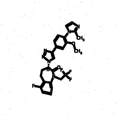 COc1cc(-c2cn([C@H]3CCc4c(F)cccc4N(CC(F)(F)F)C3=O)nn2)ccc1-n1ccnc1C